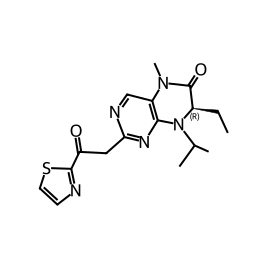 CC[C@@H]1C(=O)N(C)c2cnc(CC(=O)c3nccs3)nc2N1C(C)C